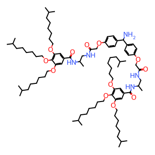 CC(C)CCCCCCOc1cc(C(=O)NC(C)CNC(=O)COc2ccc(C(N)c3ccc(OCC(=O)NCC(C)NC(=O)c4cc(OCCCCCCC(C)C)c(OCCCCCCC(C)C)c(OCCCCCCC(C)C)c4)cc3)cc2)cc(OCCCCCCC(C)C)c1OCCCCCCC(C)C